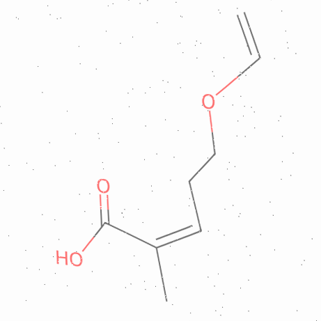 C=COCCC=C(C)C(=O)O